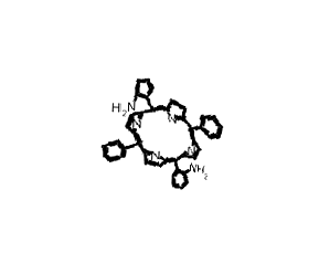 Nc1ccccc1C1=C2C=CC(=N2)C(c2ccccc2)=C2C=CC(=N2)C(c2ccccc2N)=C2C=CC(=N2)C(c2ccccc2)=C2C=CC1=N2